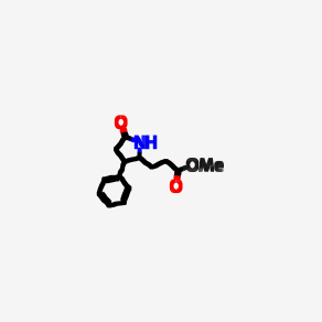 COC(=O)CCC1NC(=O)CC1c1ccccc1